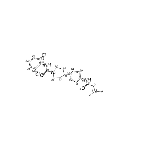 CN(C)CC(=O)Nc1ccc(C2CCN(C(=O)Nc3c(Cl)cccc3Cl)CC2)cc1